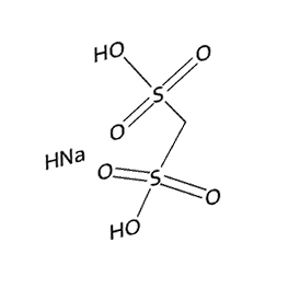 O=S(=O)(O)CS(=O)(=O)O.[NaH]